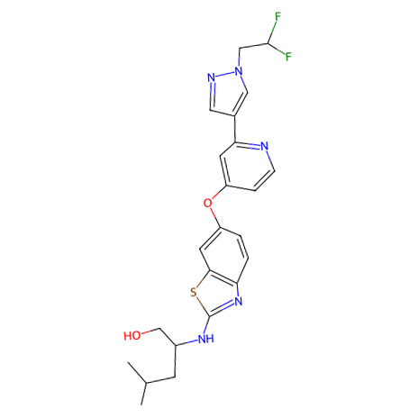 CC(C)CC(CO)Nc1nc2ccc(Oc3ccnc(-c4cnn(CC(F)F)c4)c3)cc2s1